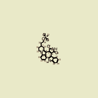 Cn1cc(C2=C(c3c4n(c5ccccc35)CCC(CCOS(C)(=O)=O)C4)C(=O)NC2=O)c2ccccc21